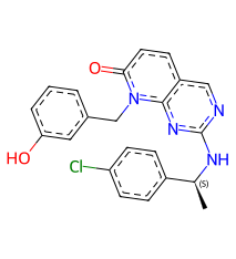 C[C@H](Nc1ncc2ccc(=O)n(Cc3cccc(O)c3)c2n1)c1ccc(Cl)cc1